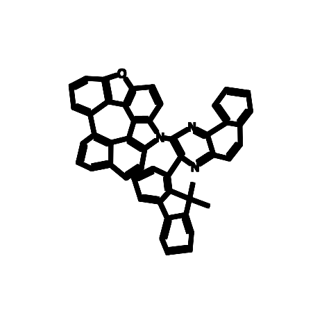 CC1(C)c2ccccc2-c2cccc(-c3nc4ccc5ccccc5c4nc3-n3c4ccc5cccc6c5c4c4c5c(ccc43)oc3cccc-6c35)c21